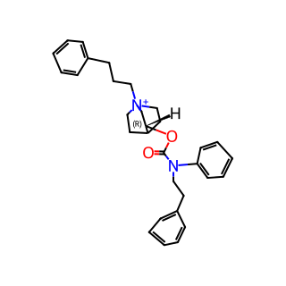 O=C(O[C@H]1C[N+]2(CCCc3ccccc3)CCC1CC2)N(CCc1ccccc1)c1ccccc1